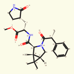 COC(=O)[C@H](C[C@@H]1CCNC1=O)NC(=O)[C@@H]1[C@@H]2[C@H](CN1C(=O)[C@H](C)c1ccccc1)C2(C)C